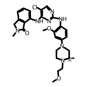 COCCN1CCN(c2ccc(Nc3ncc(Cl)c(Nc4cccc5c4C(=O)N(C)C5)n3)c(OC)c2)C[C@H]1C